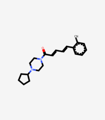 N#Cc1ccccc1C=CC=CC(=O)N1CCN(C2CCCC2)CC1